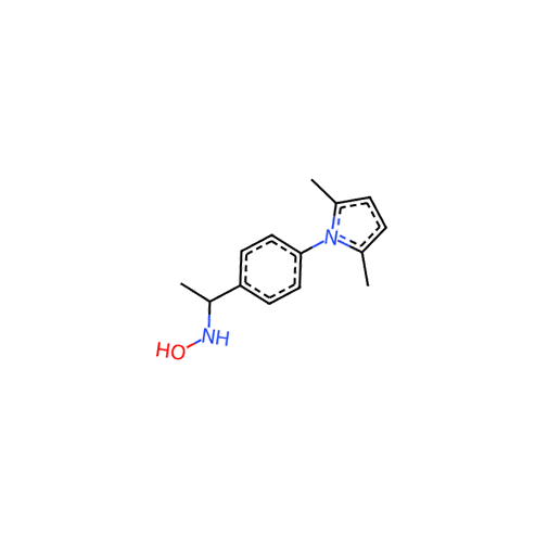 Cc1ccc(C)n1-c1ccc(C(C)NO)cc1